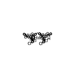 O=C(Nc1ccccc1)c1ccc2c(N=Nc3cc(Cl)ccc3Cl)c(O)c(C(=O)Nc3ccc(Cc4ccc(NC(=O)c5cc6cc(C(=O)Nc7ccccc7)ccc6c(N=Nc6cc(Cl)ccc6Cl)c5O)cc4)cc3)cc2c1